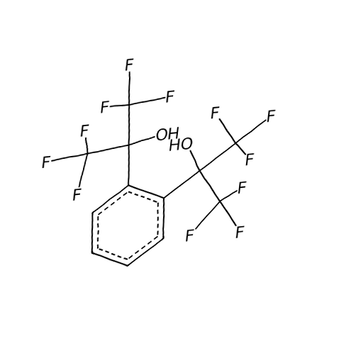 OC(c1ccccc1C(O)(C(F)(F)F)C(F)(F)F)(C(F)(F)F)C(F)(F)F